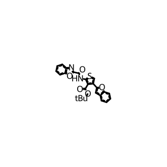 CC(C)(C)OC(=O)c1c(-c2cc3ccccc3o2)csc1NC(=O)c1nc2ccccc2o1